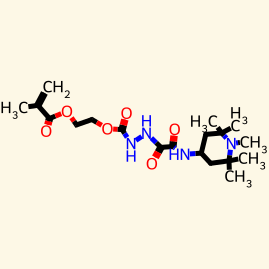 C=C(C)C(=O)OCCOC(=O)NNC(=O)C(=O)NC1CC(C)(C)N(C)C(C)(C)C1